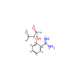 CC(=O)CC(C)=O.N=C(N)c1ccccc1O